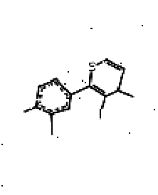 Cc1ccc(C2=C(I)C(C)C=CS2)cc1C